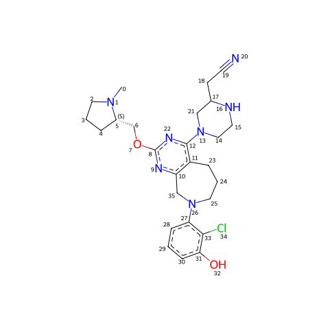 CN1CCC[C@H]1COc1nc2c(c(N3CCNC(CC#N)C3)n1)CCCN(c1cccc(O)c1Cl)C2